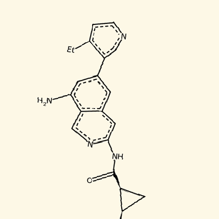 CCc1ccncc1-c1cc(N)c2cnc(NC(=O)[C@H]3C[C@H]3C)cc2c1